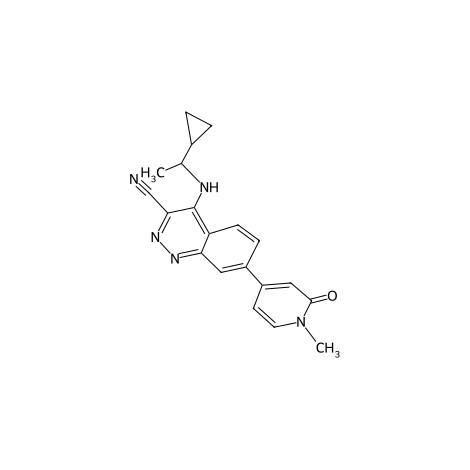 CC(Nc1c(C#N)nnc2cc(-c3ccn(C)c(=O)c3)ccc12)C1CC1